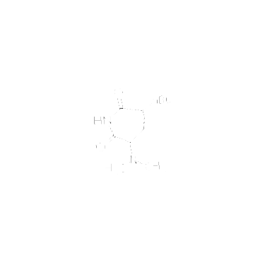 CCCCC1CC(N(C)C)C(=O)NC1=O